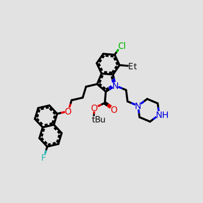 CCc1c(Cl)ccc2c(CCCOc3cccc4cc(F)ccc34)c(C(=O)OC(C)(C)C)n(CCN3CCNCC3)c12